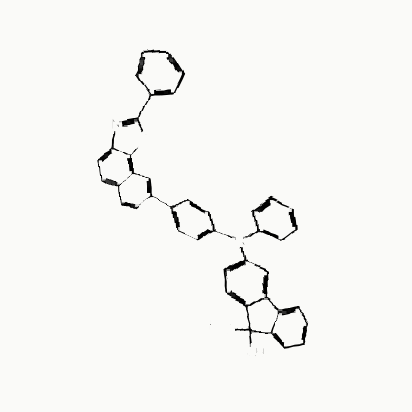 CC1(C)c2ccccc2-c2cc(N(c3ccccc3)c3ccc(-c4ccc5ccc6nc(-c7ccccc7)oc6c5c4)cc3)ccc21